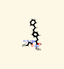 CC(C)CC(N)C(=O)NC(Cc1ccc(CCC2CCCCC2)cc1)C(=O)NC(C)(C)C